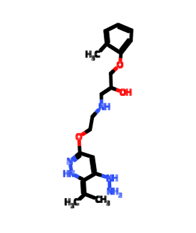 CC(C)=C1NN=C(OCCNCC(O)COc2ccccc2C)C=C1NN